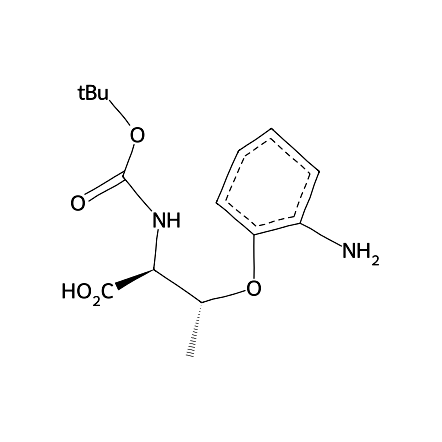 C[C@@H](Oc1ccccc1N)[C@H](NC(=O)OC(C)(C)C)C(=O)O